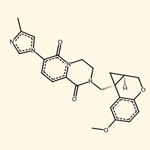 COc1ccc2c(c1)[C@@]1(CN3CCn4c(ccc(-n5cnc(C)c5)c4=O)C3=O)C[C@H]1CO2